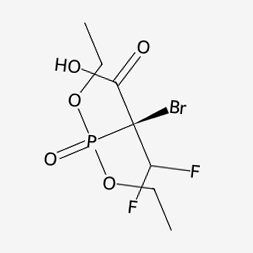 CCOP(=O)(OCC)[C@](Br)(C(=O)O)C(F)F